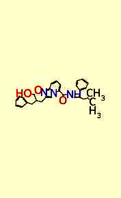 CC(C)CC(CNC(=O)c1cccc2nc(CC(Cc3ccccc3)C(=O)O)cn12)c1ccccc1